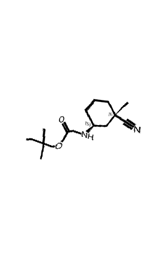 CC(C)(C)OC(=O)N[C@H]1CCC[C@](C)(C#N)C1